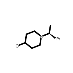 CC(C)[C@H](C)N1CCC(O)CC1